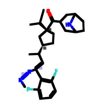 C/N=N\C(=C/C(C)[C@H]1CC[C@](C(=O)C2CC3CCC(C2)N3)(C(C)C)C1)c1c(F)cccc1F